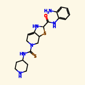 Nc1ccccc1NC(=O)C1NC2=CCN(C(=S)NC3CCNCC3)CC2S1